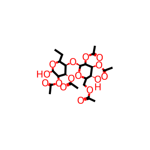 CCC1O[C@H](O)C(OC(C)=O)[C@@H](OC(C)=O)[C@@H]1O[C@@H]1OC(COC(C)=O)[C@@H](O)[C@H](OC(C)=O)C1OC(C)=O